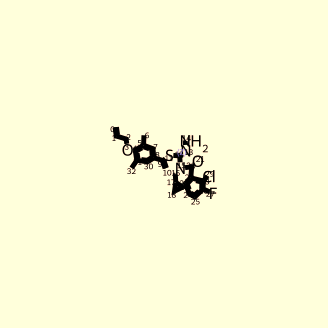 C=CCOc1c(C)cc(C(=C)S/C(=N\N)N(CC2CC2)C(=O)c2cccc(F)c2Cl)cc1C